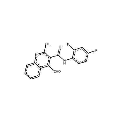 Cc1nc2ccccc2c(C=O)c1C(=O)Nc1ccc(F)cc1F